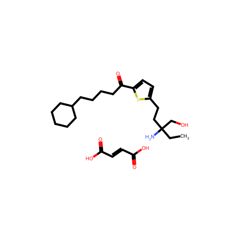 CCC(N)(CO)CCc1ccc(C(=O)CCCCC2CCCCC2)s1.O=C(O)C=CC(=O)O